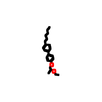 CCCCCCc1ccc(-c2ccc(OCC(C)OCC)cc2)cc1